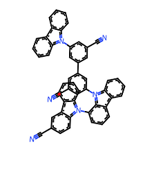 N#Cc1cc(-c2cc(C#N)cc(-n3c4ccccc4c4cccc(-n5c6ccccc6c6cc(C#N)ccc65)c43)c2)cc(-n2c3ccccc3c3ccccc32)c1